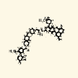 C#Cc1c(F)ccc2cc(O)cc(-c3ncc4c(N5CCC[C@@](C)(O)C5)nc(OC[C@@H](CN5CCN(CC6CCC7(CC6)CCN(C(=O)c6ccc(OC)c(N8CCC(=O)NC8=O)c6)CC7)CC5)OC)nc4c3F)c12